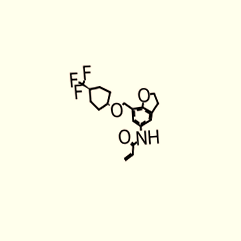 C=CC(=O)Nc1cc2c(c(CO[C@H]3CC[C@H](C(F)(F)F)CC3)c1)OCC2